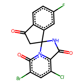 O=C1CC2(NC(=O)c3c(Cl)cc(Br)c(=O)n32)c2cc(F)ccc21